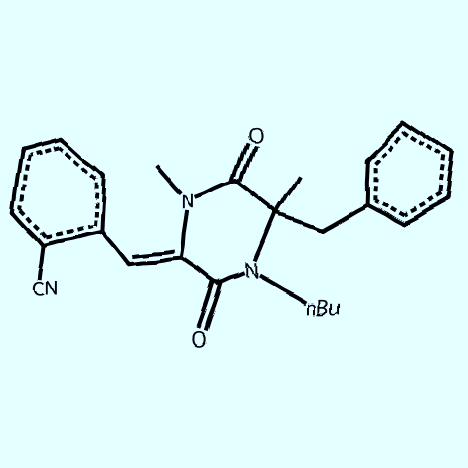 CCCCN1C(=O)C(=Cc2ccccc2C#N)N(C)C(=O)C1(C)Cc1ccccc1